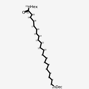 CCCCCCCCCCCCCCCCCCCCCCCCCCCCCCC(=O)CCCCCC